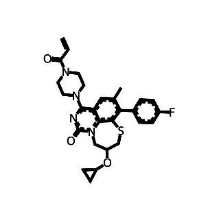 C=CC(=O)N1CCN(c2nc(=O)n3c4c(c(-c5ccc(F)cc5)c(C)cc24)SCC(OC2CC2)C3)CC1